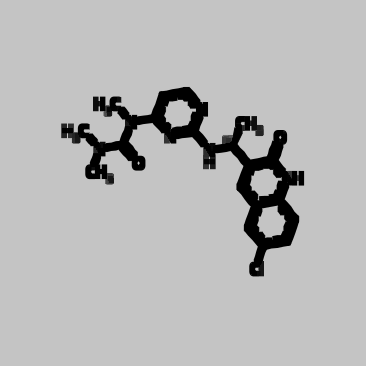 C[C@H](Nc1nccc(N(C)C(=O)N(C)C)n1)c1cc2cc(Cl)ccc2[nH]c1=O